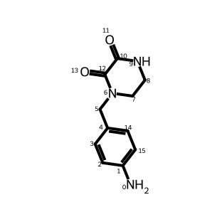 Nc1ccc(CN2CCNC(=O)C2=O)cc1